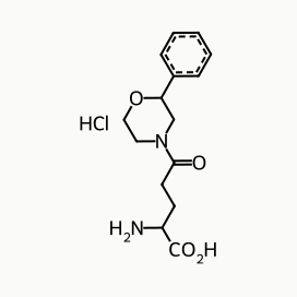 Cl.NC(CCC(=O)N1CCOC(c2ccccc2)C1)C(=O)O